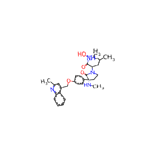 CN[C@@]1(c2ccc(OCc3cc(C)nc4ccccc34)cc2)CCN(C(CC(C)C)C(=O)NO)C1=O